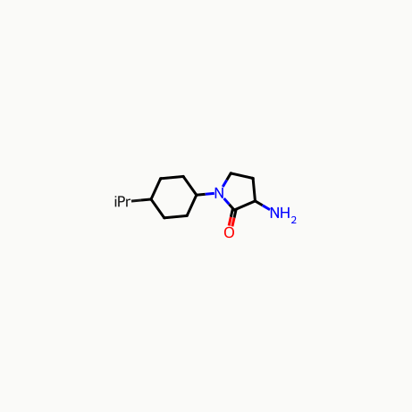 CC(C)C1CCC(N2CCC(N)C2=O)CC1